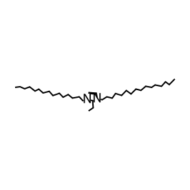 CCCCCCCCCCCCCCCCN1C=CN(CCCCCCCCCCCCCCC)C1CC